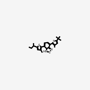 CCC(C)c1cc(C)c(C2=CC=C(c3sc(C(C)(C)C)cc3C)C3=NSNC23)s1